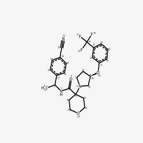 CC(NC(=O)C1(N2CC[C@@H](Oc3cccc(C(F)(F)F)c3)C2)CCOCC1)c1ccc(C#N)cc1